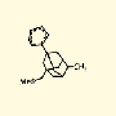 CSCC12CC3CC(c4ccccc4)(CC(C1)C3C)C2